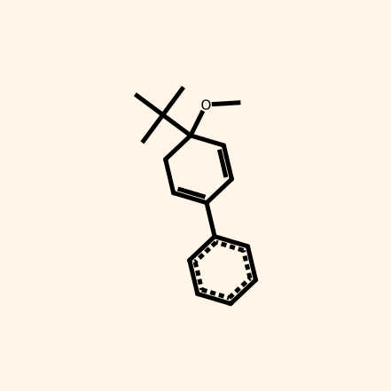 COC1(C(C)(C)C)C=CC(c2ccccc2)=CC1